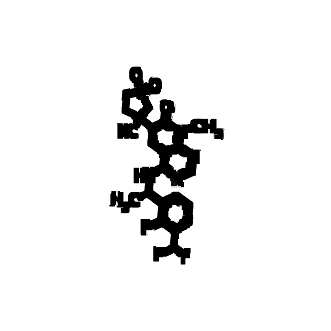 C[C@@H](Nc1ncnc2c1cc(C1(C#N)CCS(=O)(=O)C1)c(=O)n2C)c1cccc(C(F)F)c1F